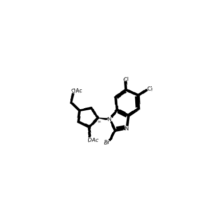 CC(=O)OCC1CC(OC(C)=O)[C@H](n2c(Br)nc3cc(Cl)c(Cl)cc32)C1